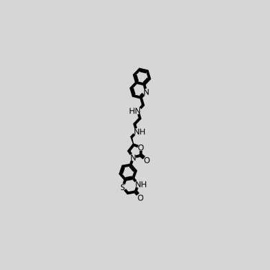 O=C1CSc2ccc(N3C[C@@H](CNCCNCc4ccc5ccccc5n4)OC3=O)cc2N1